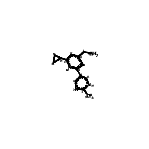 NCc1cc(-c2cnc(C(F)(F)F)nc2)nc(C2CC2)c1